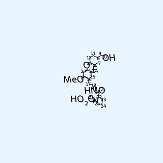 COc1cc(OC2CCC(CO)CC2)c(F)cc1CCNC(=O)C1CCCN1C(=O)O